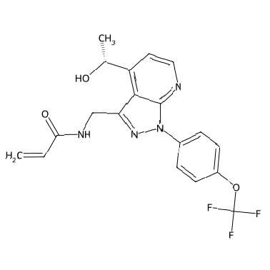 C=CC(=O)NCc1nn(-c2ccc(OC(F)(F)F)cc2)c2nccc([C@@H](C)O)c12